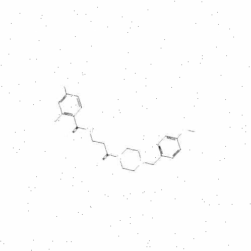 CCOc1ccc(CN2CCN(C(=O)CCNC(=O)c3ccc(F)cc3Cl)CC2)cc1